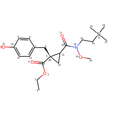 CCOC(=O)[C@@]1(Cc2ccc(O)cc2)CC1C(=O)N(CC[Si](C)(C)C)OC